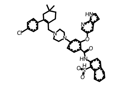 CC1(C)CCC(CN2CCN(c3ccc(C(=O)Nc4ccc5ccccc5c4[SH](=O)=O)c(Oc4cnc5[nH]ccc5c4)c3)CC2)=C(c2ccc(Cl)cc2)C1